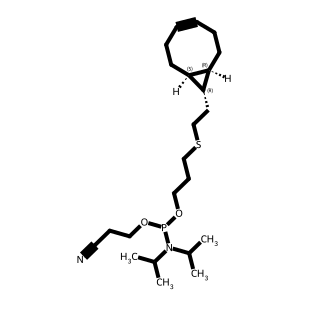 CC(C)N(C(C)C)P(OCCC#N)OCCCSCC[C@H]1[C@@H]2CCC#CCC[C@@H]21